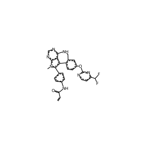 C=CC(=O)Nc1ccc(-c2c3c4c(ncnc4n2C)NCc2cc(Oc4nccc(C(F)F)n4)ccc2-3)cc1